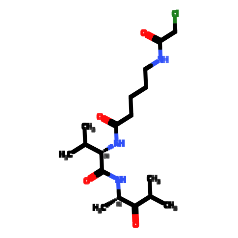 CC(C)C(=O)[C@H](C)NC(=O)[C@@H](NC(=O)CCCCNC(=O)CCl)C(C)C